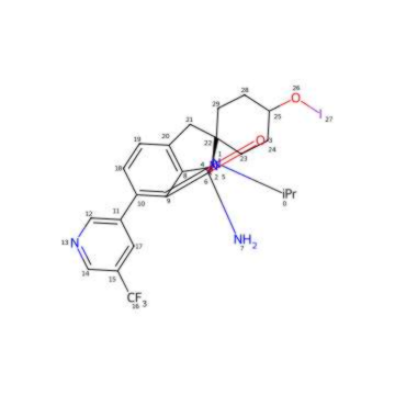 CC(C)N1C(=O)[C@@]2(N=C1N)c1cc(-c3cncc(C(F)(F)F)c3)ccc1CC21CCC(OI)CC1